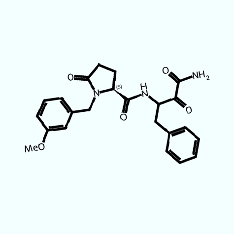 COc1cccc(CN2C(=O)CC[C@H]2C(=O)NC(Cc2ccccc2)C(=O)C(N)=O)c1